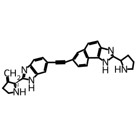 C=C1CCN[C@@H]1c1nc2ccc(C#Cc3ccc4c(ccc5nc(C6CCCN6)[nH]c54)c3)cc2[nH]1